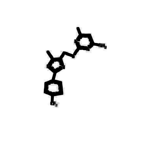 Cc1cc(N)nc(SCc2nc(-c3ccc(C(F)(F)F)cc3)sc2C)n1